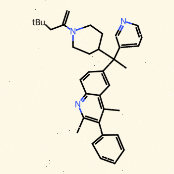 C=C(CC(C)(C)C)N1CCC(C(C)(c2cccnc2)c2ccc3nc(C)c(-c4ccccc4)c(C)c3c2)CC1